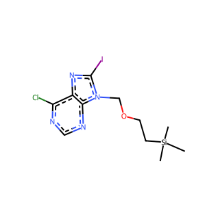 C[Si](C)(C)CCOCn1c(I)nc2c(Cl)ncnc21